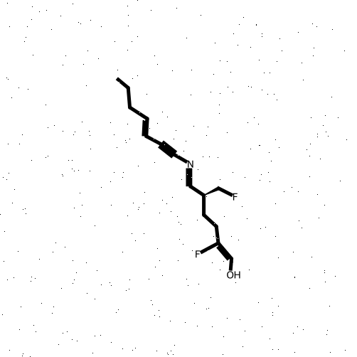 CCC/C=C/C#C/N=C/[C@@H](CF)CC/C(F)=C/O